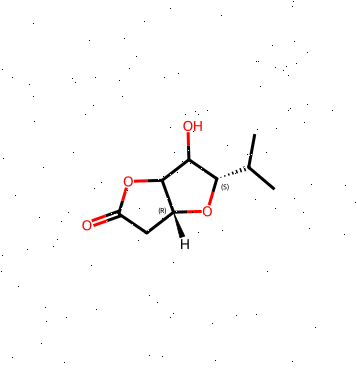 CC(C)[C@@H]1O[C@@H]2CC(=O)OC2C1O